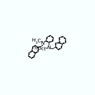 CCCCCCCCN(Cc1ccc2ccccc2c1)c1ccccc1N(C)Cc1ccc2ccccc2c1